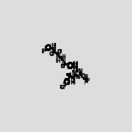 O=C(NCCNC(=O)c1ccc(Nc2nc(NC3(c4ccc(Cl)cc4)CC3)nc(OCC(F)(F)F)n2)cc1)C(=O)Nc1cccc(F)c1